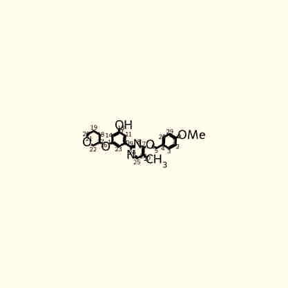 COc1ccc(COc2nc(-c3cc(O)cc(OC4CCCOC4)c3)ncc2C)cc1